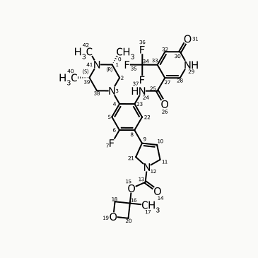 C[C@@H]1CN(c2cc(F)c(C3=CCN(C(=O)OC4(C)COC4)C3)cc2NC(=O)c2c[nH]c(=O)cc2C(F)(F)F)C[C@H](C)N1C